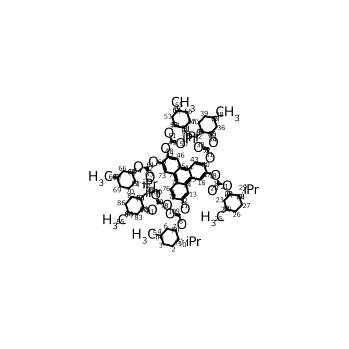 CC(C)[C@@H]1CC[C@@H](C)C[C@H]1OC(=O)Oc1cc2c3cc(OC(=O)O[C@@H]4C[C@H](C)CC[C@H]4C(C)C)c(OC(=O)O[C@@H]4C[C@H](C)CC[C@H]4C(C)C)cc3c3cc(OC(=O)O[C@@H]4C[C@H](C)CC[C@H]4C(C)C)c(OC(=O)O[C@@H]4C[C@H](C)CC[C@H]4C(C)C)cc3c2cc1OC(=O)O[C@@H]1C[C@H](C)CC[C@H]1C(C)C